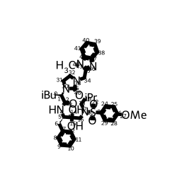 CC[C@H](C)[C@H](C(=O)N[C@@H](Cc1ccccc1)C(O)(O)CN(CC(C)C)S(=O)(=O)c1ccc(OC)cc1)N1CCN(Cc2nc3ccccc3n2C)C1=O